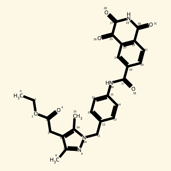 CCOC(=O)Cc1c(C)nn(Cc2ccc(NC(=O)c3ccc4c(c3)C(=O)C(=O)NC4=O)cc2)c1C